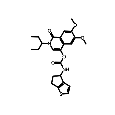 CCC(CC)n1cc(OC(=O)NC2CCc3sccc32)c2cc(OC)c(OC)cc2c1=O